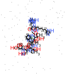 C[C@@H](O)[C@H](NC(=O)CNC(=O)[C@H](Cc1nn[nH]n1)NC(=O)CCCCCc1cnc[nH]1)C(=O)N[C@@](C)(Cc1ccccc1F)C(=O)N[C@H](C(=O)N[C@@H](CO)C(=O)NC(C=O)CC(=O)O)[C@@H](C)O